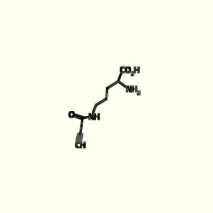 C#CC(=O)NCCCC(N)C(=O)O